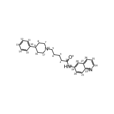 O=C(CCCCN1CCC(c2ccccc2)CC1)Nc1ccc2ncccc2c1